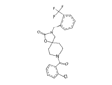 O=C1OC2(CCN(C(=O)c3ccccc3Cl)CC2)CN1Cc1ccccc1C(F)(F)F